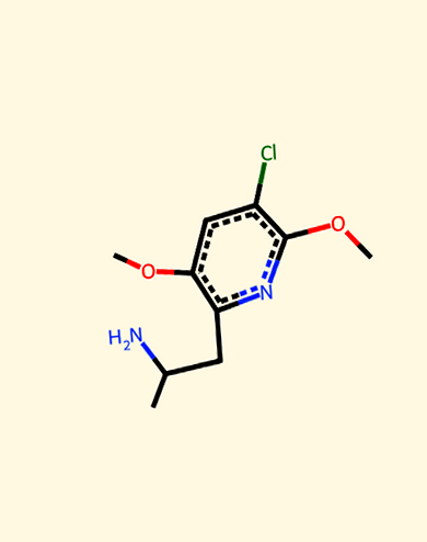 COc1cc(Cl)c(OC)nc1CC(C)N